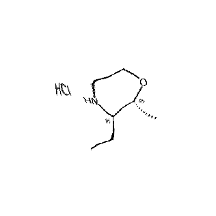 CC[C@H]1NCCO[C@@H]1C.Cl